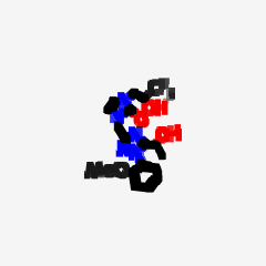 COc1ccccc1-n1nc(Cn2ccn(C[C@H](O)C(F)(F)F)c2=O)nc1[C@H](C)O